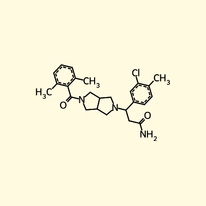 Cc1ccc(C(CC(N)=O)N2CC3CN(C(=O)c4c(C)cccc4C)CC3C2)cc1Cl